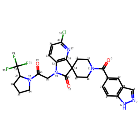 O=C(c1ccc2[nH]ncc2c1)N1CCC2(CC1)C(=O)N(CC(=O)N1CCCC1C(F)(F)F)c1ccc(Cl)nc12